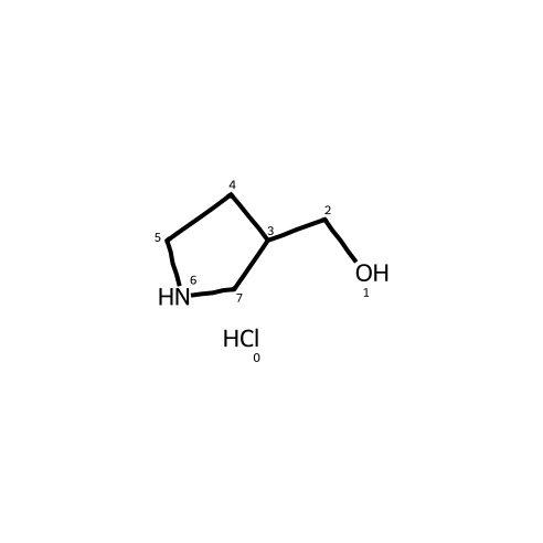 Cl.OCC1CCNC1